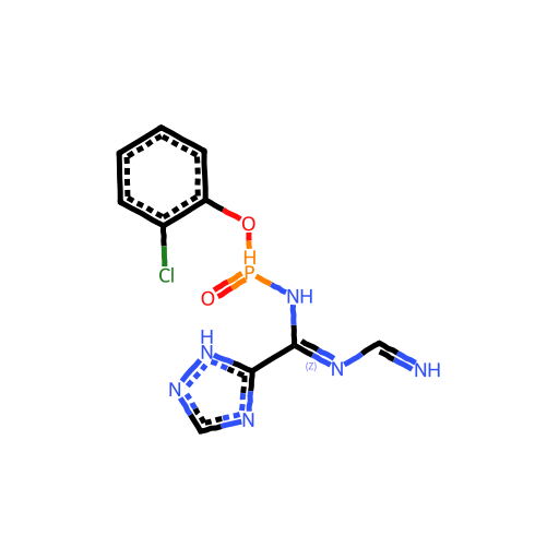 N=C/N=C(\N[PH](=O)Oc1ccccc1Cl)c1ncn[nH]1